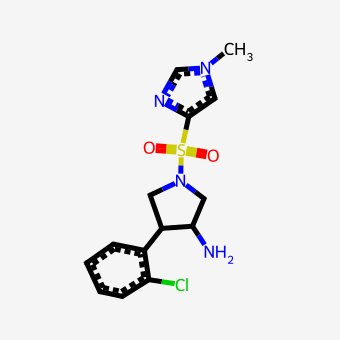 Cn1cnc(S(=O)(=O)N2CC(N)C(c3ccccc3Cl)C2)c1